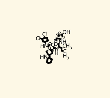 CC[C@H](C)[C@H](NC(=O)[C@H]1Cc2c([nH]c3ccccc23)CN1C(=O)Nc1ccc(Cl)c(Cl)c1)C(=O)N[C@@H](CC(=O)O)C(N)=O